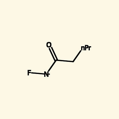 CCCCC(=O)[N]F